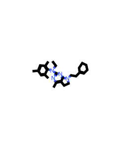 CCN(c1nc(C)c2c(n1)N(CCC1=CCCCC1)CC2)c1c(C)cc(C)cc1C